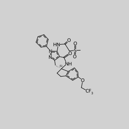 CS(=O)(=O)CC(=O)Nc1c2c(nn1-c1ccccc1)C[C@]1(CCc3cc(OCC(F)(F)F)ccc31)NC2=O